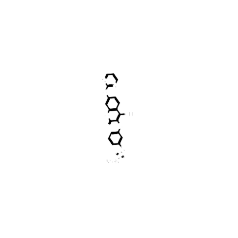 CNS(=O)(=O)Nc1cccc(Sc2c(C)c3ccc(Oc4ncccn4)cc3oc2=O)c1